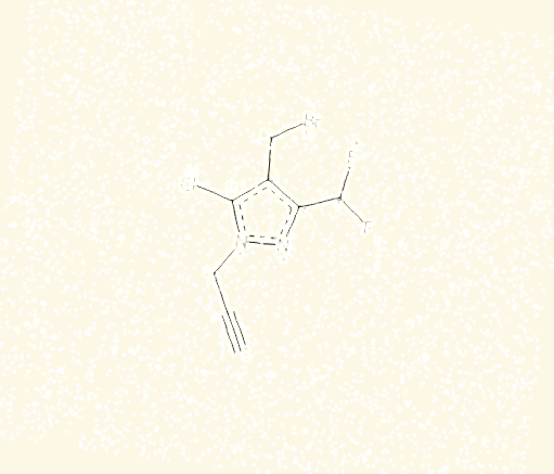 C#CCn1nc(C(F)F)c(CBr)c1Cl